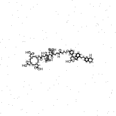 O=C(O)CC(c1cncc(OCCCC(=O)NCCNC(=O)[C@H](CS(=O)(=O)O)NC(=O)[C@H](CS(=O)(=O)O)NC(=O)CN2CCN(CC(=O)O)CCN(CC(=O)O)CCN(CC(=O)O)CC2)c1)n1ccc2c(CCc3ccc4c(n3)NCCC4)cccc21